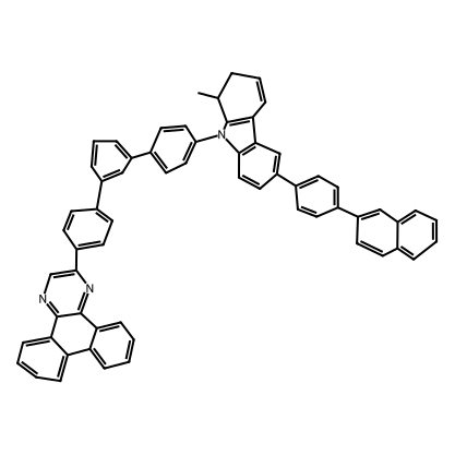 CC1CC=Cc2c1n(-c1ccc(-c3cccc(-c4ccc(-c5cnc6c7ccccc7c7ccccc7c6n5)cc4)c3)cc1)c1ccc(-c3ccc(-c4ccc5ccccc5c4)cc3)cc21